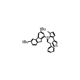 CC1C=CC(c2ccsc2)=[C]1[Zr](=[CH]Cc1ccccc1)[c]1cc(C(C)(C)C)cc2c1Cc1ccc(C(C)(C)C)cc1-2